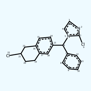 Clc1nccn1C(c1ccccc1)c1ccc2c(c1)CCC(Cl)C2